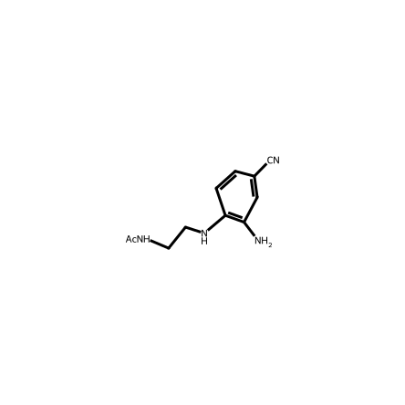 CC(=O)NCCNc1ccc(C#N)cc1N